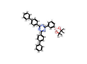 CC1(C)OB(c2cccc(-c3nc(-c4ccc(-c5ccccc5)cc4)nc(-c4ccc(-c5ccccc5)cc4)n3)c2)OC1(C)C